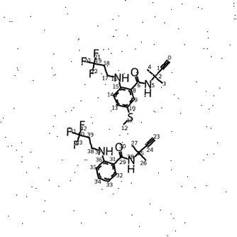 C#CC(C)(C)NC(=O)c1cc(SC)ccc1NCCC(F)(F)F.C#CC(C)(C)NC(=O)c1ccccc1NCCC(F)(F)F